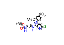 COc1cc([N+](=O)[O-])ccc1-n1nc(NCCCNC(=O)OC(C)(C)C)c2cnc(Cl)cc21